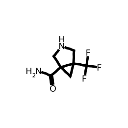 NC(=O)C12CNCC1(C(F)(F)F)C2